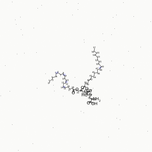 CCCCC/C=C\C/C=C\C/C=C\C/C=C\CCCC(=O)OC[C@H](COP(=O)(O)OC[C@H](N)C(=O)O)OC(=O)CCCCCCCCC/C=C\CCCCCCCC